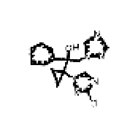 OC(Cn1cncn1)(c1ccccc1)C1(n2cnc(Cl)n2)CC1